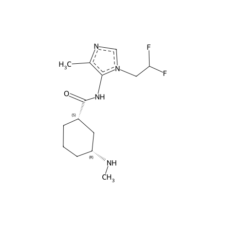 CN[C@@H]1CCC[C@H](C(=O)Nc2c(C)ncn2CC(F)F)C1